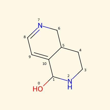 OC1NCCC2CN=CC=C21